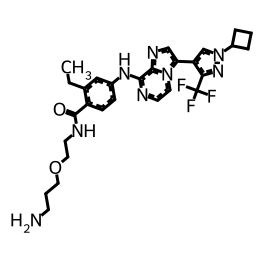 CCc1cc(Nc2nccn3c(-c4cn(C5CCC5)nc4C(F)(F)F)cnc23)ccc1C(=O)NCCOCCCN